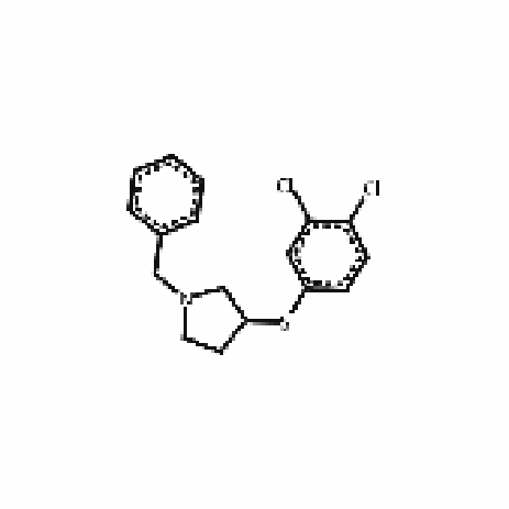 Clc1ccc(SC2CCN(Cc3ccccc3)C2)cc1Cl